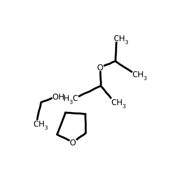 C1CCOC1.CC(C)OC(C)C.CCO